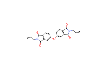 C=CCN1C(=O)c2ccc(Oc3ccc4c(c3)C(=O)N(CC=C)C4=O)cc2C1=O